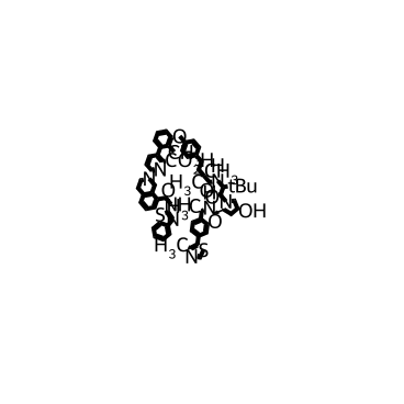 Cc1ncsc1-c1ccc(C(C)NC(=O)[C@@H]2C[C@@H](O)CN2C(=O)C(NC(=O)C(C)(C)CCc2ccc(Oc3cccc(-c4ccc(N5CCc6cccc(C(=O)Nc7nc8ccccc8s7)c6C5)nc4C(=O)O)c3C)cc2)C(C)(C)C)cc1